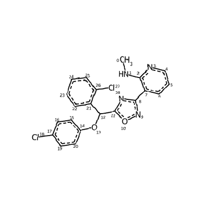 CNc1ncccc1-c1noc(C(Oc2ccc(Cl)cc2)c2ccccc2Cl)n1